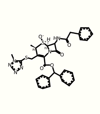 C[C@@H]1C(CSc2nnnn2C)=C(C(=O)OC(c2ccccc2)c2ccccc2)N2C(=O)C(NC(=O)Cc3ccccc3)[C@@H]2[S+]1[O-]